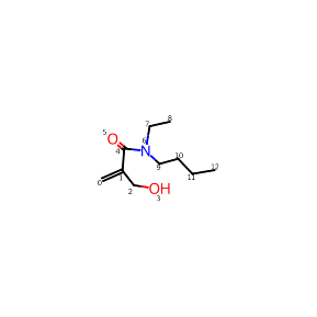 C=C(CO)C(=O)N(CC)CCCC